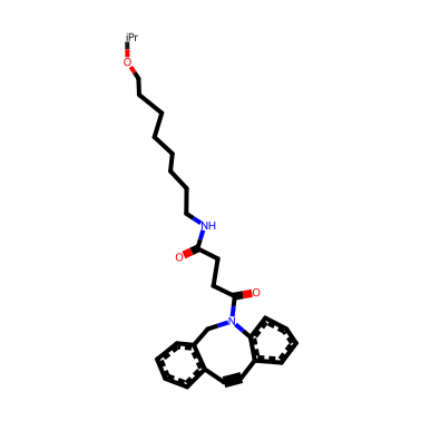 CC(C)OCCCCCCCCNC(=O)CCC(=O)N1Cc2ccccc2C#Cc2ccccc21